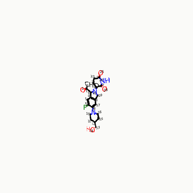 O=CC(=O)C1c2cc(F)c(N3CCC(CO)CC3)cc2CN1C1CCC(=O)NC1=O